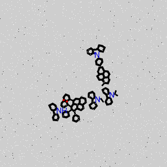 CC(C)n1c2ccccc2c2ccccc21.CCn1c2ccccc2c2ccccc21.Cc1ccc2ccc3cccc4ccc1c2c34.c1ccc(-c2c(-c3ccccc3)c3ccc4cccc5cc(-c6ccccc6)c(c2-c2ccccc2)c3c45)cc1.c1ccc(-n2c3ccccc3c3ccccc32)cc1.c1ccc2c(c1)[nH]c1ccccc12